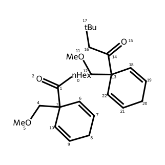 CCCCCCC(=O)C1(COC)C=CCC=C1.COCC1(C(=O)CC(C)(C)C)C=CCC=C1